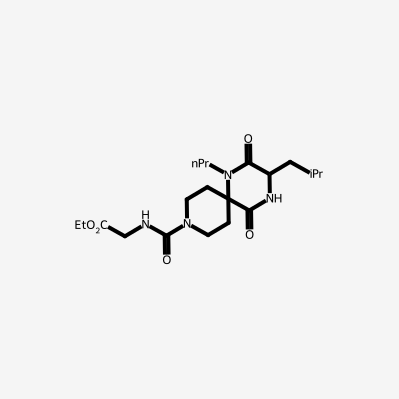 CCCN1C(=O)C(CC(C)C)NC(=O)C12CCN(C(=O)NCC(=O)OCC)CC2